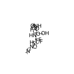 CC(=O)NS(=O)(=O)c1cc(OCCO)c(NCC#Cc2sc3c(NC4CCN(C(C)C)CC4)cccc3c2CC(F)(F)F)cc1F